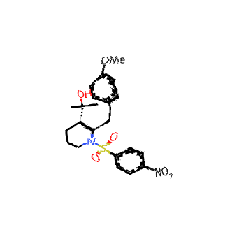 COc1ccc(C[C@@H]2[C@@H](C(C)(C)O)CCCN2S(=O)(=O)c2ccc([N+](=O)[O-])cc2)cc1